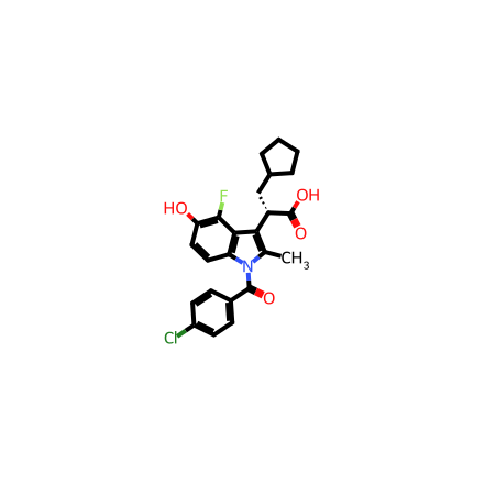 Cc1c([C@H](CC2CCCC2)C(=O)O)c2c(F)c(O)ccc2n1C(=O)c1ccc(Cl)cc1